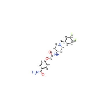 NC(=O)c1ccc(OCC(=O)NC2CCN(Cc3ccc(F)c(F)c3)CC2)cc1